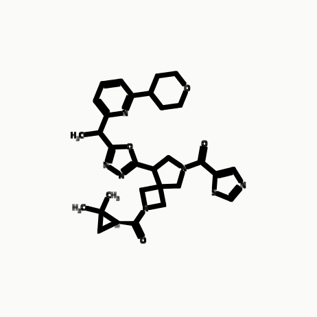 CC(c1cccc(C2CCOCC2)n1)c1nnc(C2CN(C(=O)c3cncs3)CC23CN(C(=O)[C@H]2CC2(C)C)C3)o1